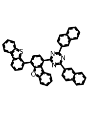 c1ccc2cc(-c3nc(-c4ccc5ccccc5c4)nc(-c4ccc(-c5cccc6c5sc5ccccc56)c5oc6ccccc6c45)n3)ccc2c1